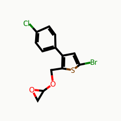 Clc1ccc(-c2cc(Br)sc2COC2CO2)cc1